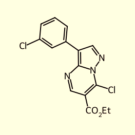 CCOC(=O)c1cnc2c(-c3cccc(Cl)c3)cnn2c1Cl